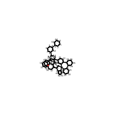 c1ccc(-c2cccc(-c3nc(-c4ccccc4)nc(-c4ccc5c(c4)C4(c6ccccc6-c6ccccc6-5)c5ccccc5-c5c4cc4ccc6cccc7ccc5c4c67)n3)c2)cc1